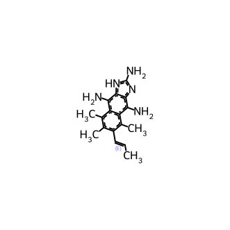 C/C=C/c1c(C)c(C)c2c(N)c3[nH]c(N)nc3c(N)c2c1C